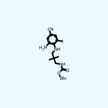 CC(C)(CNC(=O)OC(C)(C)C)CNc1c(N)cc(C#N)cc1I